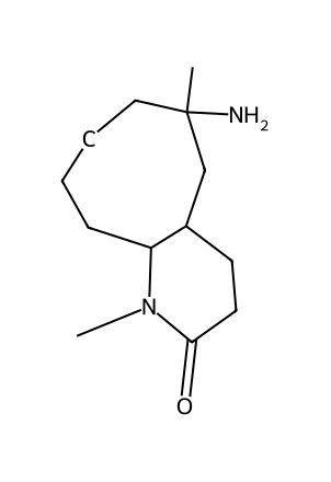 CN1C(=O)CCC2CC(C)(N)CCCCC21